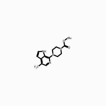 CC(C)(C)OC(=O)N1CCN(c2ncc(C(F)(F)F)c3cc[nH]c23)CC1